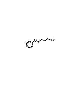 CC(C)CCC[CH]Oc1ccccc1